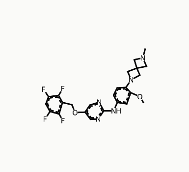 COc1cc(Nc2ncc(OCc3c(F)c(F)cc(F)c3F)cn2)ccc1N1CC2(CN(C)C2)C1